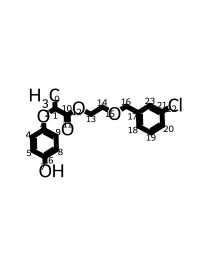 CC(Oc1ccc(O)cc1)C(=O)OCCOCc1cccc(Cl)c1